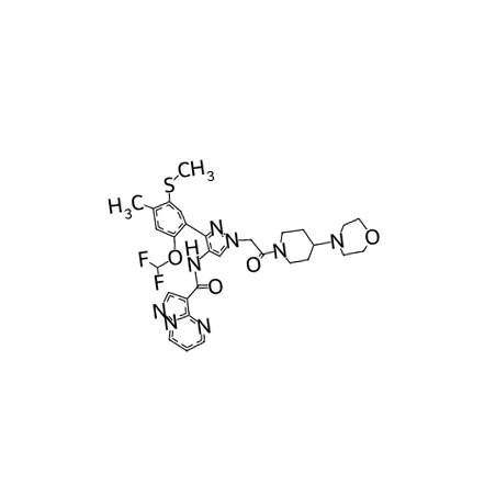 CSc1cc(-c2nn(CC(=O)N3CCC(N4CCOCC4)CC3)cc2NC(=O)c2cnn3cccnc23)c(OC(F)F)cc1C